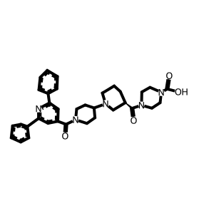 O=C(O)N1CCN(C(=O)[C@@H]2CCCN(C3CCN(C(=O)c4cc(-c5ccccc5)nc(-c5ccccc5)c4)CC3)C2)CC1